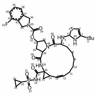 CC(C)(C)C1=CSC(NC2CCCCC/C=C\C3CC3(C(=O)NS(=O)(=O)C3CC3)NC(=O)C3CC(OC(=O)N4Cc5cccc(F)c5C4)CN3C2=O)N1